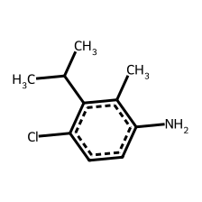 Cc1c(N)ccc(Cl)c1C(C)C